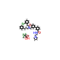 O=C(NCCN1CCCC1)c1cccc(-c2cccc(CN(CCCc3ccccc3)C(=O)Cc3ccccc3Br)c2)c1.O=C(O)C(F)(F)F